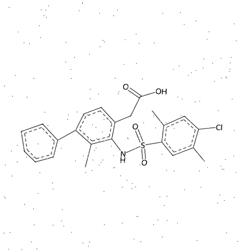 Cc1cc(S(=O)(=O)Nc2c(CC(=O)O)ccc(-c3ccccc3)c2C)c(C)cc1Cl